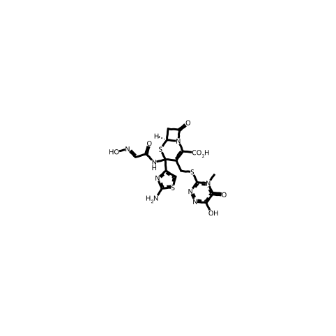 Cn1c(SCC2=C(C(=O)O)N3C(=O)C[C@@H]3SC2(NC(=O)C=NO)c2csc(N)n2)nnc(O)c1=O